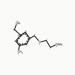 COCCOCc1cc(C)cc(CO)c1